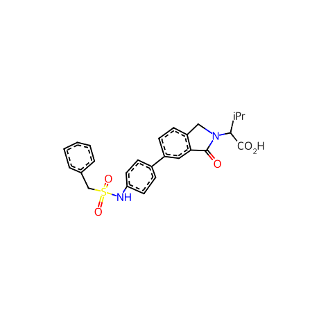 CC(C)C(C(=O)O)N1Cc2ccc(-c3ccc(NS(=O)(=O)Cc4ccccc4)cc3)cc2C1=O